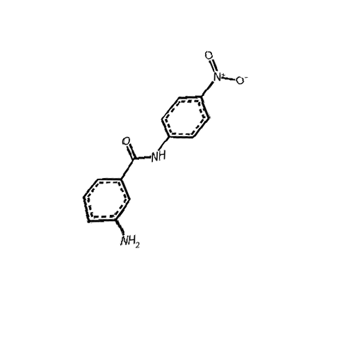 Nc1cccc(C(=O)Nc2ccc([N+](=O)[O-])cc2)c1